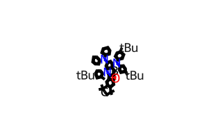 Cc1cc(C(C)(C)C)ccc1N1c2cc(N(c3ccccc3)c3ccccc3)cc3c2B(c2cc(C(C)(C)C)ccc2N3c2ccc(C(C)(C)C)cc2)c2oc3cc4c(cc3c21)C(C)(C)CCC4(C)C